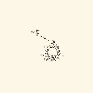 CCC1NC(=O)[C@H](NC(=O)CC(CCCCCCCCCCCCNC(=N)N)N=O)C(C)OC(=O)C(C)NC(=O)C(CC(N)=O)NC(=O)C(C(C)O)NC(=O)C(C(C)C)NC1=O